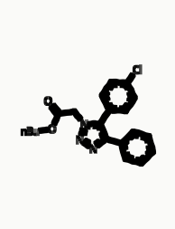 CCCCOC(=O)Cn1nnc(-c2ccccc2)c1-c1ccc(Cl)cc1